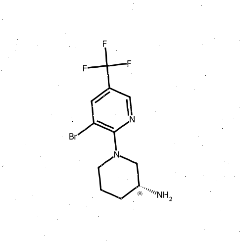 N[C@@H]1CCCN(c2ncc(C(F)(F)F)cc2Br)C1